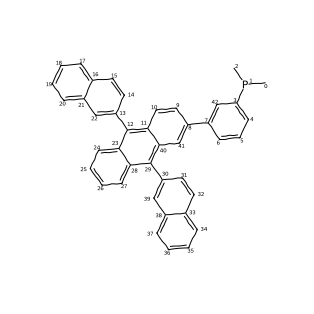 CP(C)c1cccc(-c2ccc3c(-c4ccc5ccccc5c4)c4ccccc4c(-c4ccc5ccccc5c4)c3c2)c1